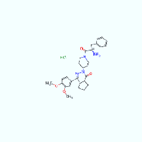 COc1ccc(C2=NN(C3CCN(C(=O)[C@H](N)Cc4ccccc4)CC3)C(=O)C3CCCC23)cc1OC.Cl